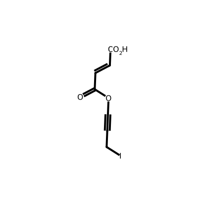 O=C(O)C=CC(=O)OC#CCI